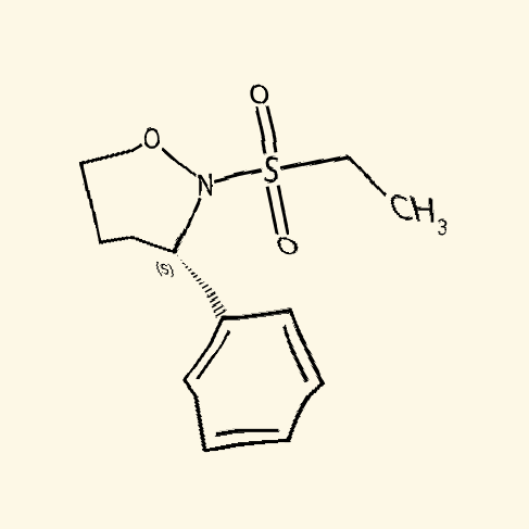 CCS(=O)(=O)N1OCC[C@H]1c1ccccc1